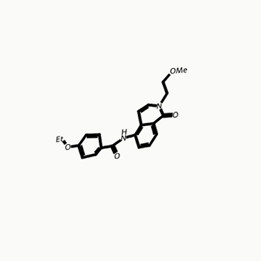 CCOc1ccc(C(=O)Nc2cccc3c(=O)n(CCOC)ccc23)cc1